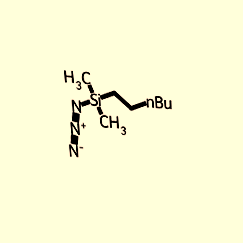 CCCCCC[Si](C)(C)N=[N+]=[N-]